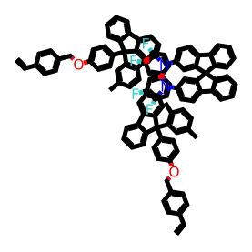 C=Cc1ccc(COc2ccc(C3(c4cc(C)ccc4C)c4ccccc4-c4ccc(N(c5ccc(F)c(F)c5)c5ccc6c(c5)C5(c7ccccc7-6)c6ccccc6-c6ccc(N(c7ccc(F)c(F)c7)c7ccc8c(c7)C(c7ccc(OCc9ccc(C=C)cc9)cc7)(c7cc(C)ccc7C)c7ccccc7-8)cc65)cc43)cc2)cc1